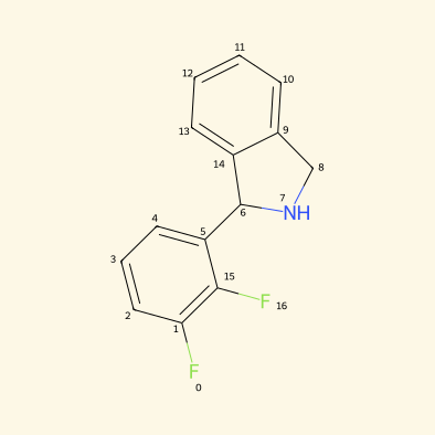 Fc1cccc(C2NCc3ccccc32)c1F